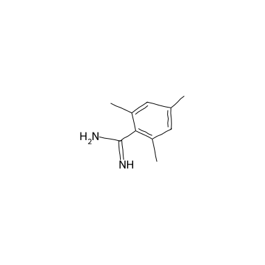 Cc1cc(C)c(C(=N)N)c(C)c1